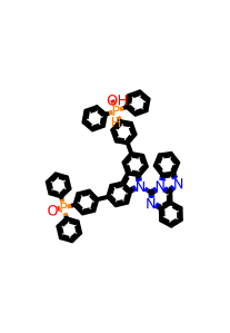 O=P(c1ccccc1)(c1ccccc1)c1ccc(-c2ccc3c(c2)c2cc(-c4ccc([PH](O)(c5ccccc5)c5ccccc5)cc4)ccc2n3-c2nc3ccccc3c3nc4ccccc4n23)cc1